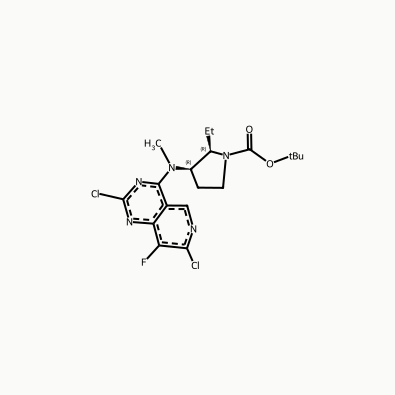 CC[C@@H]1[C@H](N(C)c2nc(Cl)nc3c(F)c(Cl)ncc23)CCN1C(=O)OC(C)(C)C